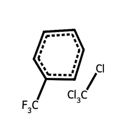 ClC(Cl)(Cl)Cl.FC(F)(F)c1ccccc1